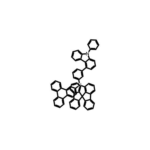 c1ccc(-n2c3ccccc3c3c(-c4cccc(N(c5ccc6c7ccccc7c7ccccc7c6c5)c5cccc6c5C5(c7ccccc7-c7ccccc75)c5ccccc5-6)c4)cccc32)cc1